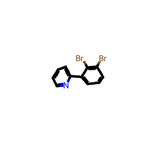 Brc1cccc(-c2ccccn2)c1Br